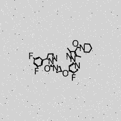 Cc1nn(-c2cc(OC3CN(C(=O)N4N=CCC4c4cc(F)cc(F)c4)C3)c(F)cn2)c(C)c1C(=O)N1CCCCC1